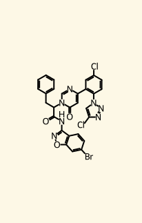 O=C(Nc1noc2cc(Br)ccc12)C(Cc1ccccc1)n1cnc(-c2cc(Cl)ccc2-n2cc(Cl)nn2)cc1=O